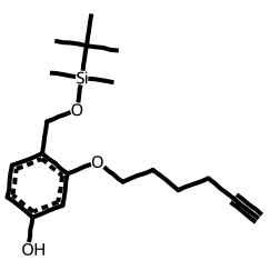 C#CCCCCOc1cc(O)ccc1CO[Si](C)(C)C(C)(C)C